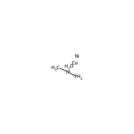 O.[CH3][Ni][PH2].[Co].[Ni]